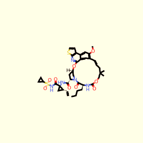 C=C[C@@H]1C[C@]1(NC(=O)[C@@H]1C[C@@H]2CN1C(=O)[C@H](CCCC)NC(=O)OCC(C)(C)C/C=C/c1cc3c(nc4sccc4c3cc1OC)O2)C(=O)NS(=O)(=O)C1CC1